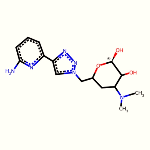 CN(C)C1CC(Cn2cc(-c3cccc(N)n3)nn2)O[C@@H](O)C1O